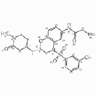 CN1CCN(C[C@H]2CN(S(=O)(=O)c3cccc(Cl)c3)c3cc(NC(=O)CC(C)(C)C)ccc3O2)CC1=O